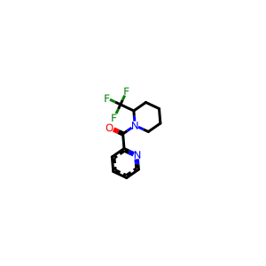 O=C(c1ccccn1)N1CCCCC1C(F)(F)F